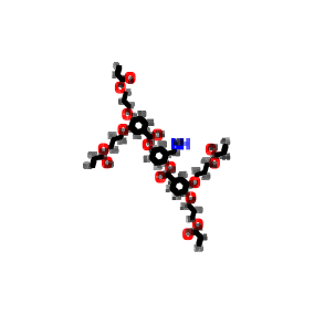 C=CC(=O)OCCCOc1ccc(C(=O)Oc2ccc(OC(=O)c3ccc(OCCCOC(=O)C=C)c(OCCCOC(=O)C=C)c3)c(C=N)c2)cc1OCCCOC(=O)C=C